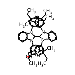 CCc1cc(N2c3ccccc3N(c3cc(CC)nc(CC)c3)C2C2N(c3cc(CC)nc(CC)c3)c3ccccc3N2c2cc(CC)nc(CC)c2)cc(CC)n1